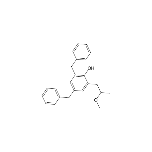 COC(C)Cc1cc(Cc2ccccc2)cc(Cc2ccccc2)c1O